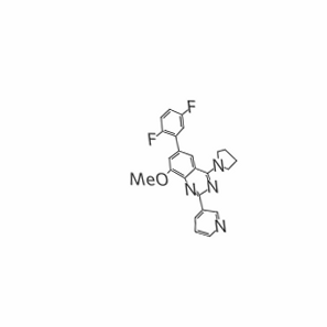 COc1cc(-c2cc(F)ccc2F)cc2c(N3CCCC3)nc(-c3cccnc3)nc12